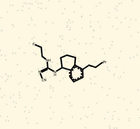 CC(C)CCc1cccc2c1CCCC2N/C(=N\C#N)NCCF